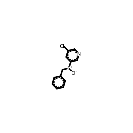 [O-][S+](Cc1ccccc1)c1cncc(Cl)c1